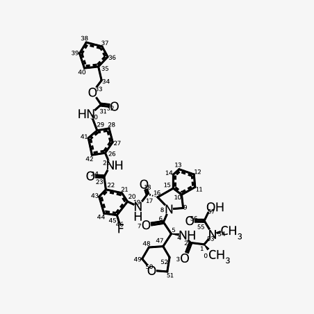 C[C@@H](C(=O)N[C@H](C(=O)N1Cc2ccccc2[C@H]1C(=O)Nc1cc(C(=O)Nc2ccc(NC(=O)OCc3ccccc3)cc2)ccc1F)C1CCOCC1)N(C)C(=O)O